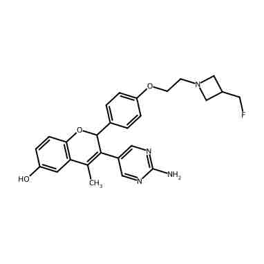 CC1=C(c2cnc(N)nc2)C(c2ccc(OCCN3CC(CF)C3)cc2)Oc2ccc(O)cc21